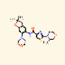 CC1COCCN1c1nc(C(=O)Nc2cc3c(cc2N2CCOCC2)OC(C)(C)C3)cs1